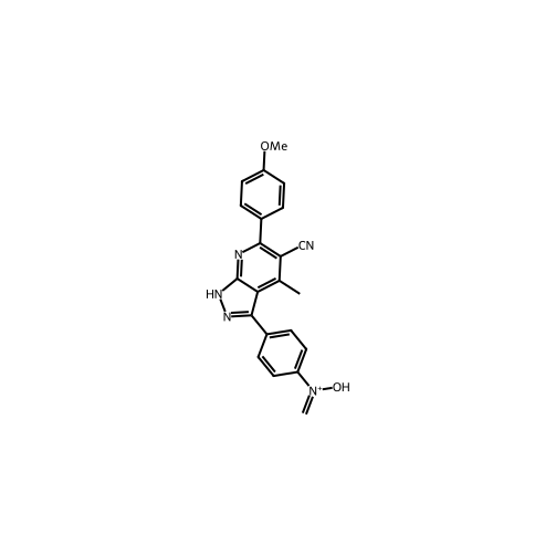 C=[N+](O)c1ccc(-c2n[nH]c3nc(-c4ccc(OC)cc4)c(C#N)c(C)c23)cc1